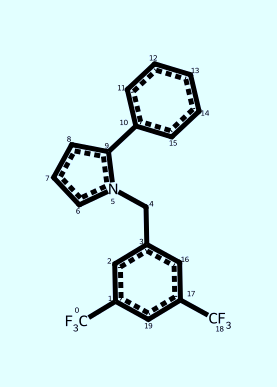 FC(F)(F)c1cc(Cn2cccc2-c2ccccc2)cc(C(F)(F)F)c1